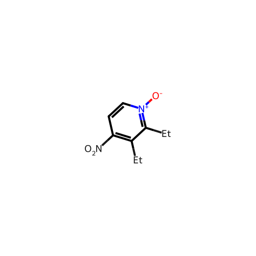 CCc1c([N+](=O)[O-])cc[n+]([O-])c1CC